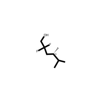 CC(C)[C@@H](C)CC(F)(F)CO